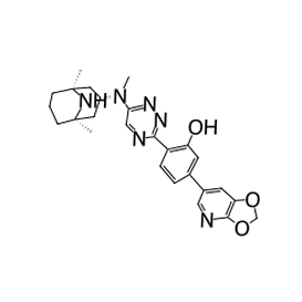 CN(c1cnc(-c2ccc(-c3cnc4c(c3)OCO4)cc2O)nn1)[C@H]1C[C@]2(C)CCC[C@](C)(C1)N2